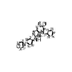 CN1Cc2cnc(Nc3ccc(N4CCOCC4)cc3)nc2N(Cc2ccccc2)CC1=O